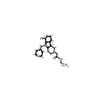 CCOC(=O)CN1CCc2c(c3cccc(F)c3n2Cc2ccccc2)C1